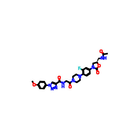 COc1ccc(-n2cc(C(=O)NCC(=O)N3CCN(c4ccc(N5C[C@H](CNC(C)=O)OC5=O)cc4F)CC3)nn2)cc1